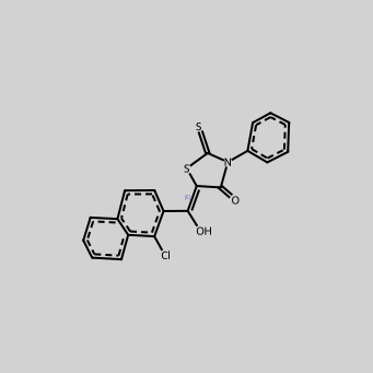 O=C1/C(=C(\O)c2ccc3ccccc3c2Cl)SC(=S)N1c1ccccc1